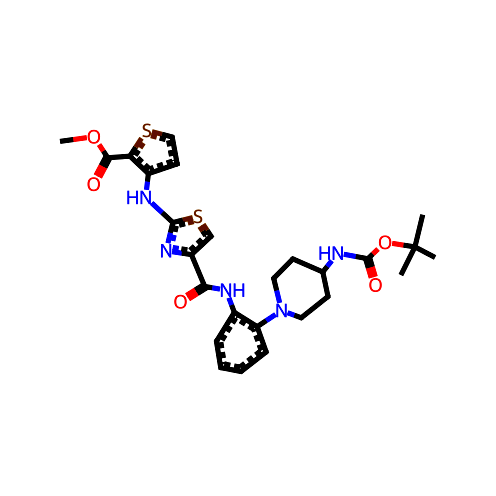 COC(=O)c1sccc1Nc1nc(C(=O)Nc2ccccc2N2CCC(NC(=O)OC(C)(C)C)CC2)cs1